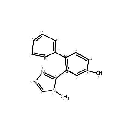 Cn1cnnc1-c1cc(C#N)ccc1-c1ccccc1